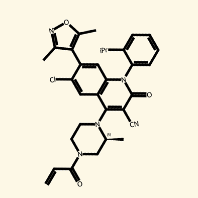 C=CC(=O)N1CCN(c2c(C#N)c(=O)n(-c3ccccc3C(C)C)c3cc(-c4c(C)noc4C)c(Cl)cc23)[C@@H](C)C1